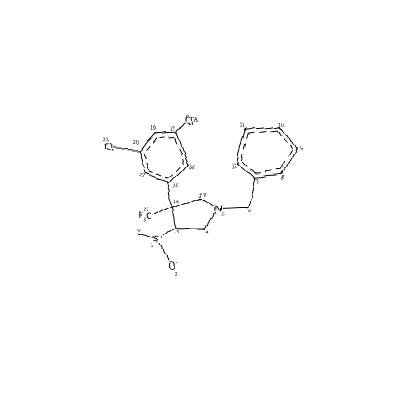 C[S+]([O-])C1CN(Cc2ccccc2)CC1(c1cc(Cl)cc(Cl)c1)C(F)(F)F